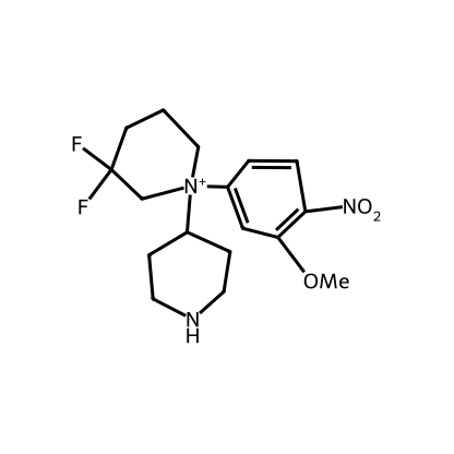 COc1cc([N+]2(C3CCNCC3)CCCC(F)(F)C2)ccc1[N+](=O)[O-]